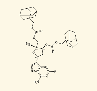 C#C[C@]1(COC(=O)OCC23CC4CC(CC(C4)C2)C3)O[C@@H](n2cnc3c(N)nc(F)nc32)C[C@@H]1OC(=O)OCC12CC3CC(CC(C3)C1)C2